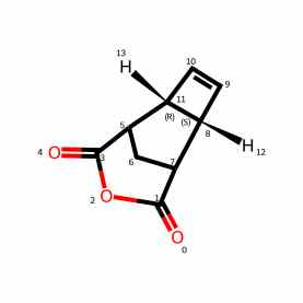 O=C1OC(=O)C2CC1[C@H]1C=C[C@@H]21